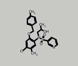 Cc1ccc(COc2cc(Cl)c(C)cc2N(CC(C)O)S(=O)(=O)c2cccnc2)cc1